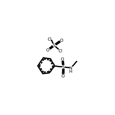 CNS(=O)(=O)c1ccccc1.O=S(=O)(Cl)Cl